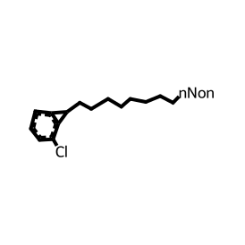 CCCCCCCCCCCCCCCCCC1c2cccc(Cl)c21